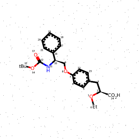 CCO[C@@H](Cc1ccc(OC[C@@H](NC(=O)OC(C)(C)C)c2ccccc2)cc1)C(=O)O